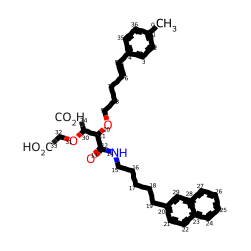 Cc1ccc(C=CCCCOC(C(=O)NCCCCCc2ccc3ccccc3c2)C(OCC(=O)O)C(=O)O)cc1